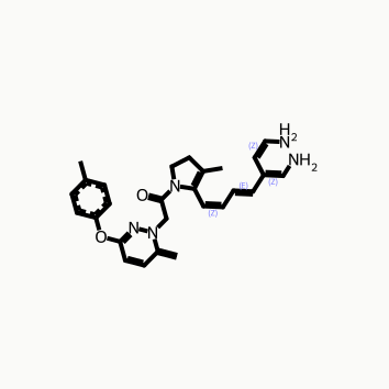 C=C1C=CC(Oc2ccc(C)cc2)=NN1CC(=O)N1CCC(C)=C1\C=C/C=C/C(/C=C\N)=C/N